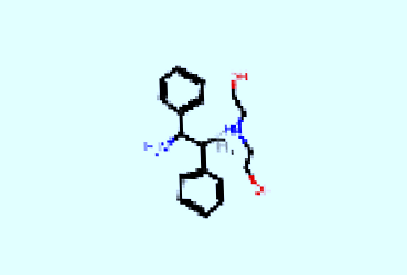 CC(c1ccccc1)C(N)c1ccccc1.OCCNCCO